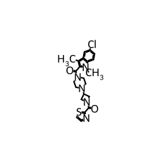 Cc1c(C(=O)N2CCN(C3CN(C(=O)c4nccs4)C3)CC2)n(C)c2ccc(Cl)cc12